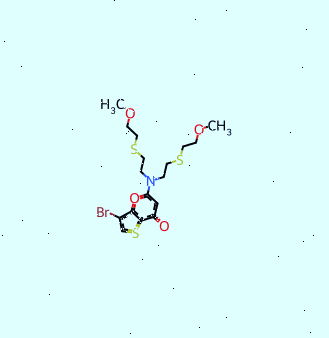 COCCSCCN(CCSCCOC)c1cc(=O)c2scc(Br)c2o1